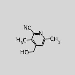 Cc1cc(CO)c(C)c(C#N)n1